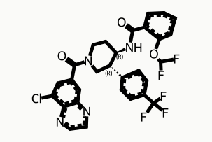 O=C(N[C@@H]1CCN(C(=O)c2cc(Cl)c3nccnc3c2)C[C@H]1c1ccc(C(F)(F)F)cc1)c1ccccc1OC(F)F